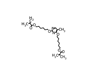 C=C(C)C(=O)OCCCCCCOc1ncc(C)c(OCCCCCCOC(=O)C(=C)C)n1